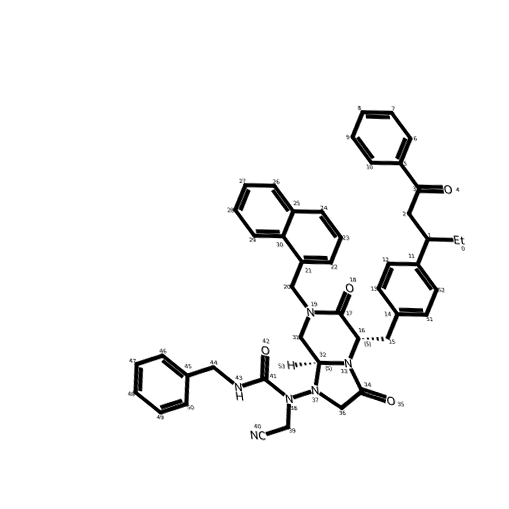 CCC(CC(=O)c1ccccc1)c1ccc(C[C@H]2C(=O)N(Cc3cccc4ccccc34)C[C@H]3N2C(=O)CN3N(CC#N)C(=O)NCc2ccccc2)cc1